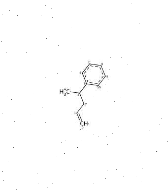 [CH]=CCC(C)c1ccccc1